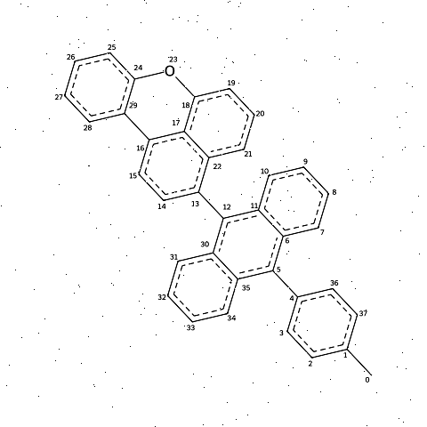 Cc1ccc(-c2c3ccccc3c(-c3ccc4c5c(cccc35)Oc3ccccc3-4)c3ccccc23)cc1